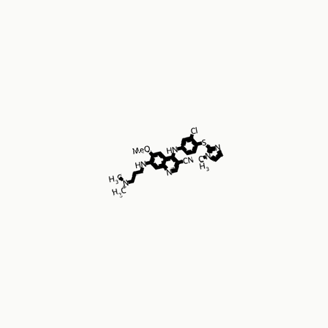 COc1cc2c(Nc3ccc(Sc4nccn4C)c(Cl)c3)c(C#N)cnc2cc1NCCCN(C)C